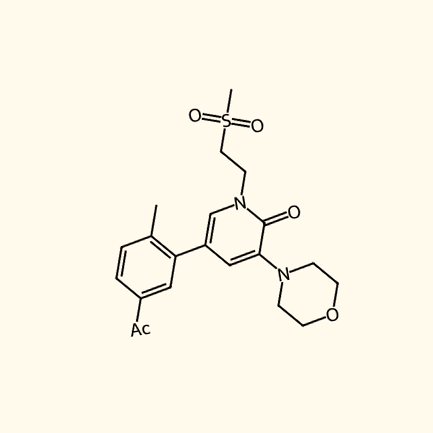 CC(=O)c1ccc(C)c(-c2cc(N3CCOCC3)c(=O)n(CCS(C)(=O)=O)c2)c1